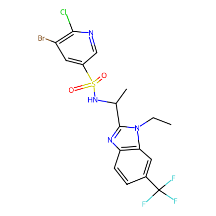 CCn1c(C(C)NS(=O)(=O)c2cnc(Cl)c(Br)c2)nc2ccc(C(F)(F)F)cc21